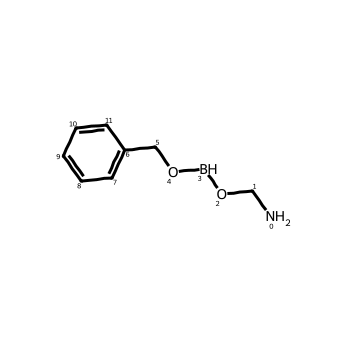 NCOBOCc1ccccc1